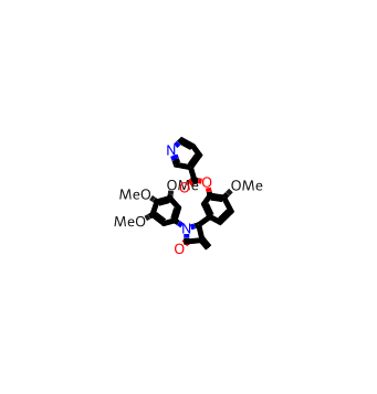 C=C1C(=O)N(c2cc(OC)c(OC)c(OC)c2)C1c1ccc(OC)c(OC(=O)c2cccnc2)c1